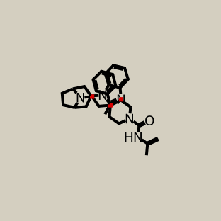 C=C(C)NC(=O)N1CCC(CCN2C3CCC2CC(n2c(C)nc4ccccc42)C3)(c2ccccc2)CC1